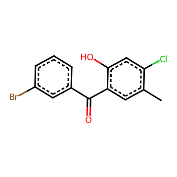 Cc1cc(C(=O)c2cccc(Br)c2)c(O)cc1Cl